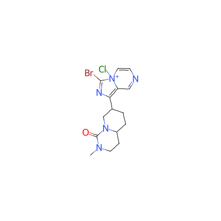 CN1CCC2CCC(C3=C4C=NC=C[N+]4(Cl)C(Br)=N3)CN2C1=O